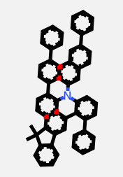 CC1(C)c2ccccc2-c2cc(-c3c(-c4ccccc4)cccc3N(c3ccc4cc(-c5ccccc5)ccc4c3)c3ccccc3-c3ccc(-c4ccccc4)cc3)ccc21